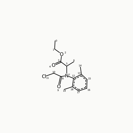 CCOC(=O)C(C)N(C(=O)CCl)c1c(C)cccc1C